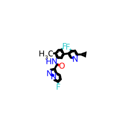 Cc1cc(F)c(-c2cnc(C3CC3)cc2F)cc1NC(=O)c1cnn2cc(F)ccc12